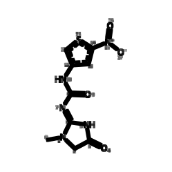 CN1CC(=O)NC1=NC(=O)Nc1csc([N+](=O)[O-])c1